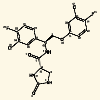 O=C1NC[C@@H](C(=O)N[C@H](COc2ccc(F)c(Cl)c2)c2ccc(F)c(Cl)c2)N1